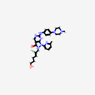 Cc1cccc(-n2c3nc(Nc4ccc(N5CCN(C)CC5)cc4)ncc3c(=O)n2C/C(F)=C/CCCO)n1